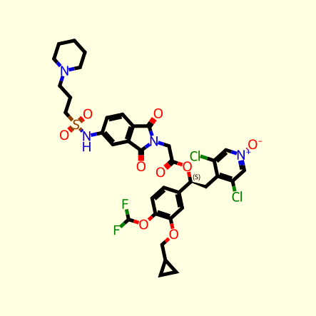 O=C(CN1C(=O)c2ccc(NS(=O)(=O)CCCN3CCCCC3)cc2C1=O)O[C@@H](Cc1c(Cl)c[n+]([O-])cc1Cl)c1ccc(OC(F)F)c(OCC2CC2)c1